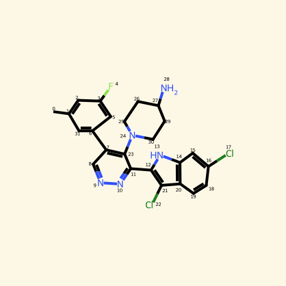 Cc1cc(F)cc(-c2cnnc(-c3[nH]c4cc(Cl)ccc4c3Cl)c2N2CCC(N)CC2)c1